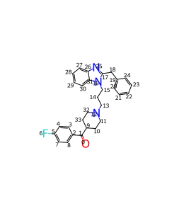 O=C(c1ccc(F)cc1)C1CCN(CCCn2c(Cc3ccccc3)nc3ccccc32)CC1